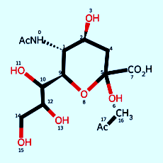 CC(=O)N[C@@H]1[C@@H](O)CC(O)(C(=O)O)O[C@H]1C(O)C(O)CO.CC(C)=O